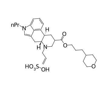 C=CCN1CC(C(=O)OCCCC2CCOCC2)C[C@@H]2c3cccc4c3c(cn4CCC)C[C@H]21.O=S(=O)(O)O